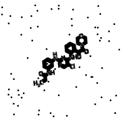 C=CC(=O)Nc1cccc(Nc2ncc(Cl)c(Nc3ccccc3C(=O)C(=O)N3CCOCC3)n2)c1